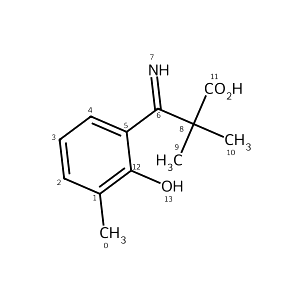 Cc1cccc(C(=N)C(C)(C)C(=O)O)c1O